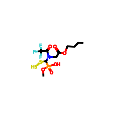 CCCCOC(=O)CN(C(=O)C(F)(F)F)C(SS)P(=O)(O)OC